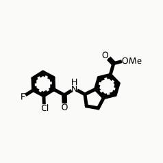 COC(=O)c1ccc2c(c1)C(NC(=O)c1cccc(F)c1Cl)CC2